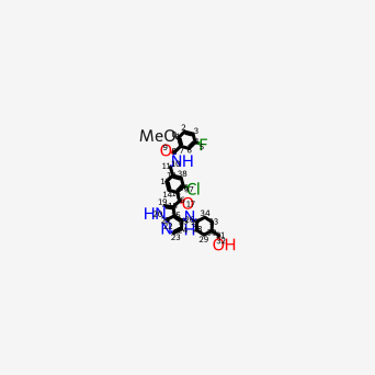 COc1ccc(F)cc1C(=O)NCc1ccc(C(=O)c2c[nH]c3nccc(NC4CCC(CO)CC4)c23)c(Cl)c1